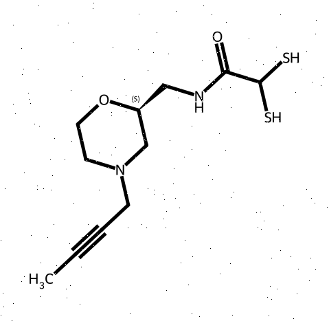 CC#CCN1CCO[C@@H](CNC(=O)C(S)S)C1